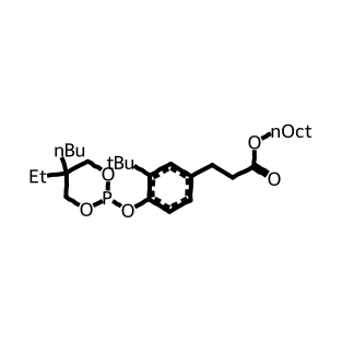 CCCCCCCCOC(=O)CCc1ccc(OP2OCC(CC)(CCCC)CO2)c(C(C)(C)C)c1